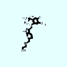 Cc1cc(OCc2n[nH]c3nc(CNCCO)ccc23)c(C(C)(C)C)cc1Cl